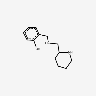 Oc1ccccc1CNCC1CCCCN1